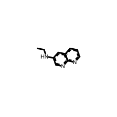 CCNc1cnc2ncccc2c1